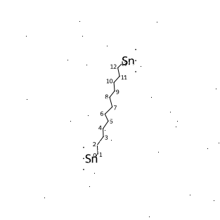 [Sn][CH2]CCCCCCCCCC[CH2][Sn]